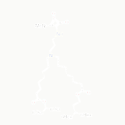 CCCCCCCCC(CCCCCCCC)OC(=O)CCCCCCCN(CCCCCCCC(=O)OCCC(CCCCCC)CCCCCC)CCCNc1c(NC)c(=O)c1=O